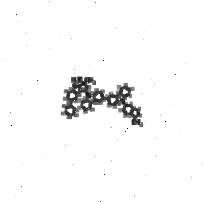 CC1C=Cc2cc(-n3c4ccccc4c4cc(-c5ccc6c(c5)c5ccccc5n6C5=CC(C)(C)c6sc7ccc(-c8ccccc8)cc7c65)ccc43)ccc21